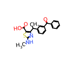 CNc1nc(C(C)c2cccc(C(=O)c3ccccc3)c2)c(C(=O)O)s1